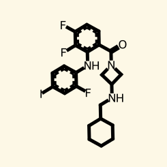 O=C(c1ccc(F)c(F)c1Nc1ccc(I)cc1F)N1CC(NCC2CCCCC2)C1